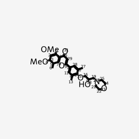 COC1=CC(OC)C(C)c2oc(-c3cc(C)c(OC[C@H](O)CN4CCOCC4)c(C)c3)cc(=O)c21